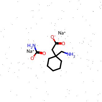 NC(=O)[O-].NCC1(CC(=O)[O-])CCCCC1.[Na+].[Na+]